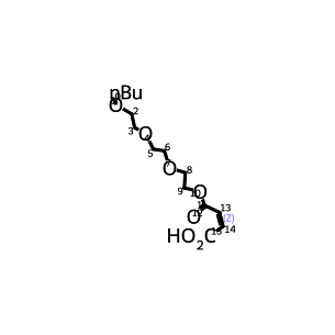 CCCCOCCOCCOCCOC(=O)/C=C\C(=O)O